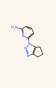 Nc1cccc(-n2nnc3c2CCC3)n1